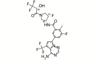 Cc1c(F)cc(-c2cc(C(F)(F)F)c3c(N)ncnn23)cc1C(=O)N[C@@H]1CN(C(=O)[C@@H](O)C(F)(F)F)C[C@@H]1F